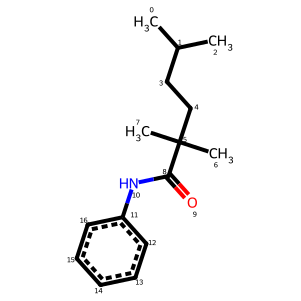 CC(C)CCC(C)(C)C(=O)Nc1ccccc1